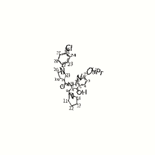 CC(C)Oc1ccc([C@@H](O)[C@@H](CN2CCCC2)NC(=O)[C@H]2CCN(c3ccc(Cl)cc3)C2)cn1